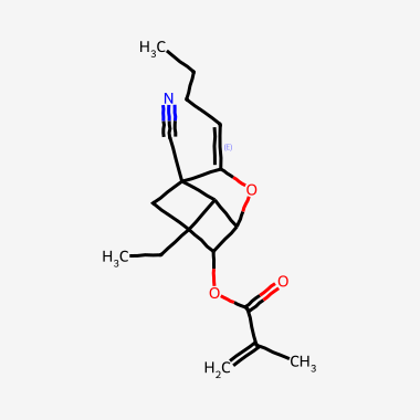 C=C(C)C(=O)OC1C2O/C(=C/CCC)C3(C#N)CC1(CC)C23